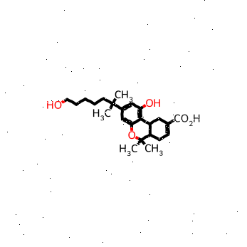 CC(C)(CCCCCO)c1cc(O)c2c(c1)OC(C)(C)C1CC=C(C(=O)O)CC21